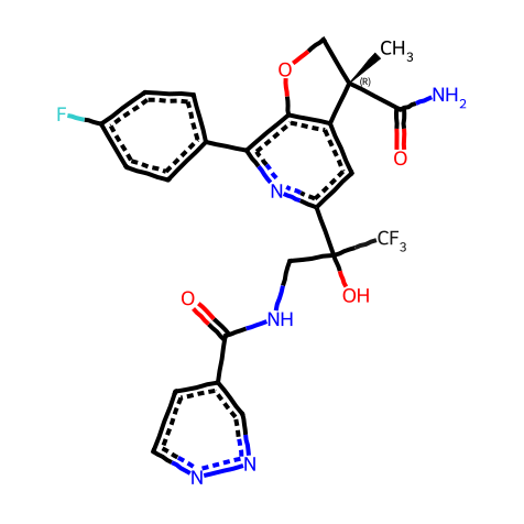 C[C@]1(C(N)=O)COc2c1cc(C(O)(CNC(=O)c1ccnnc1)C(F)(F)F)nc2-c1ccc(F)cc1